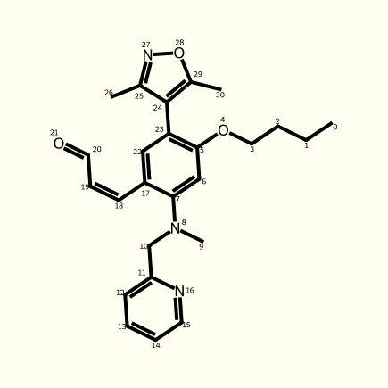 CCCCOc1cc(N(C)Cc2ccccn2)c(/C=C\C=O)cc1-c1c(C)noc1C